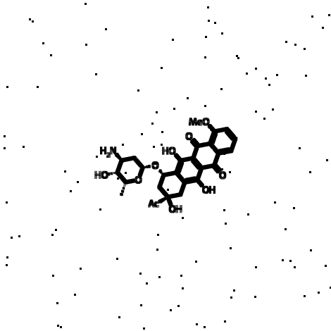 COc1cccc2c1C(=O)c1c(O)c3c(c(O)c1C2=O)C[C@@](O)(C(C)=O)C[C@@H]3O[C@H]1C[C@H](N)[C@@H](O)[C@@H](C)O1